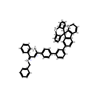 N/C(=C\C(=N/Cc1ccccc1)c1ccccc1)c1ccc(-c2cccc(-c3ccc4c(c3)C3(C5=C4C=CCN5)c4ccccc4Oc4ccccc43)c2)cc1